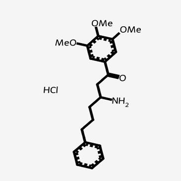 COc1cc(C(=O)CC(N)CCCc2ccccc2)cc(OC)c1OC.Cl